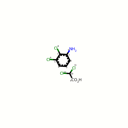 Nc1cccc(Cl)c1Cl.O=C(O)C(Cl)Cl